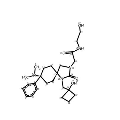 CN(C)[C@]1(c2ccccc2)CC[C@@]2(CC1)CN(CC(=O)NCCO)C(=O)N2CC1(O)CCC1